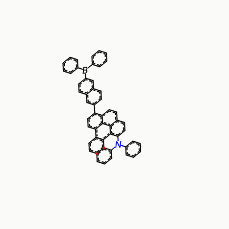 c1ccc(B(c2ccccc2)c2ccc3cc(-c4ccc5c6ccccc6c6c(N(c7ccccc7)c7ccccc7)ccc7ccc4c5c76)ccc3c2)cc1